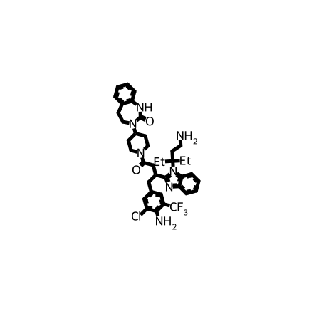 CCC(CC)(CCN)n1c(C(CC(=O)N2CCC(N3CCc4ccccc4NC3=O)CC2)Cc2cc(Cl)c(N)c(C(F)(F)F)c2)nc2ccccc21